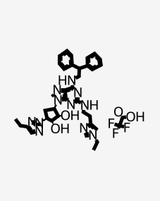 CCc1cnn([C@H]2C[C@@H](n3cnc4c(NCC(c5ccccc5)c5ccccc5)nc(NCCc5cn(CC)cn5)nc43)[C@H](O)[C@@H]2O)n1.O=C(O)C(F)(F)F